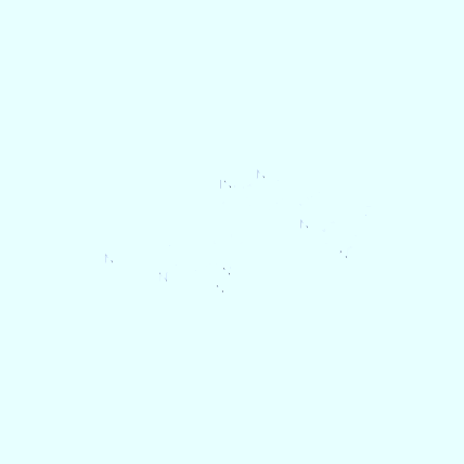 CN1CCC(NC(=O)c2cnn3ccc(-c4c[nH]c5ncc(C(=O)Nc6cncc(F)c6)cc45)cc23)CC1